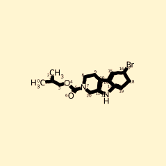 CC(C)COC(=O)N1CCc2c([nH]c3c2=CC(Br)CC=3)C1